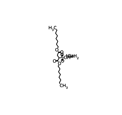 CCCCCCCCOC(=O)CC(C(=O)OCCCCCCCC)S(=O)(=O)O.[CaH2].[NaH]